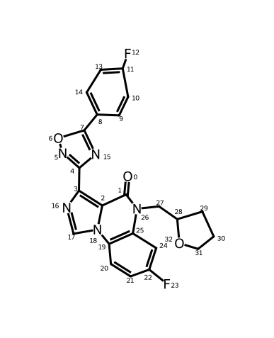 O=c1c2c(-c3noc(-c4ccc(F)cc4)n3)ncn2c2ccc(F)cc2n1CC1CCCO1